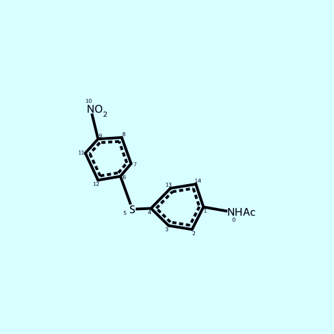 CC(=O)Nc1ccc(Sc2ccc([N+](=O)[O-])cc2)cc1